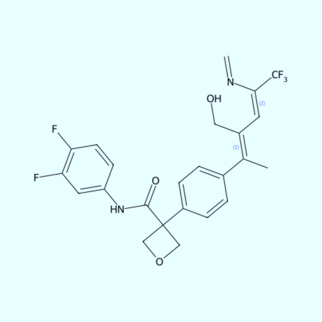 C=N/C(=C\C(CO)=C(/C)c1ccc(C2(C(=O)Nc3ccc(F)c(F)c3)COC2)cc1)C(F)(F)F